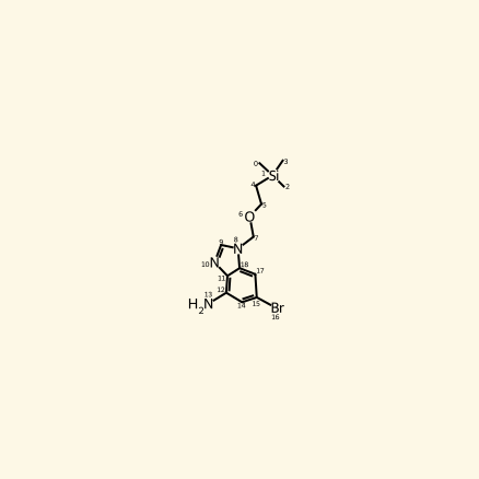 C[Si](C)(C)CCOCn1cnc2c(N)cc(Br)cc21